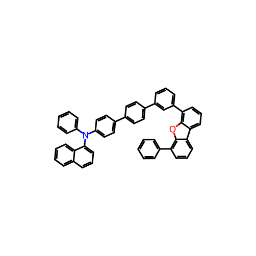 c1ccc(-c2cccc3c2oc2c(-c4cccc(-c5ccc(-c6ccc(N(c7ccccc7)c7cccc8ccccc78)cc6)cc5)c4)cccc23)cc1